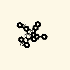 CC1CC(c2ccc(-c3ccccc3)cc2)=NC(c2cc3c(cc2-n2c4cc5ccccc5cc4c4cc5ccccc5cc42)sc2ccccc23)=N[C@H]1c1cccc2oc3ccccc3c12